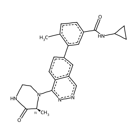 Cc1ccc(C(=O)NC2CC2)cc1-c1ccc2c(N3CCNC(=O)[C@@H]3C)nncc2c1